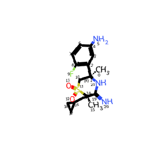 C[C@@]1(c2cc(N)ccc2F)CS(=O)(=O)[C@@](C)(C2CC2)C(=N)N1